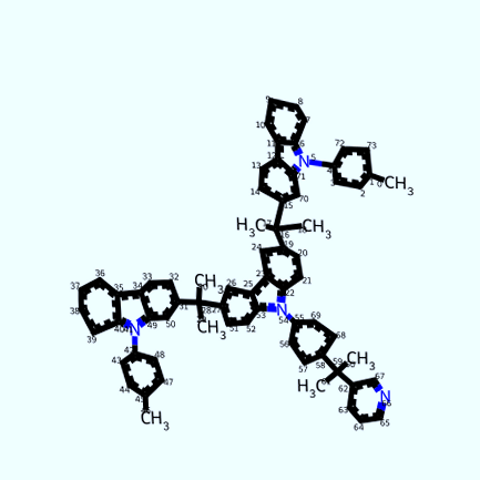 Cc1ccc(-n2c3ccccc3c3ccc(C(C)(C)c4ccc5c(c4)c4cc(C(C)(C)c6ccc7c8ccccc8n(-c8ccc(C)cc8)c7c6)ccc4n5-c4ccc(C(C)(C)c5cccnc5)cc4)cc32)cc1